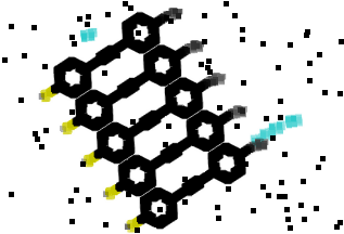 CCCc1ccc(C#Cc2ccc([S])cc2)cc1.CCCc1ccc(C#Cc2ccc([S])cc2)cc1.CCCc1ccc(C#Cc2ccc([S])cc2)cc1.CCCc1ccc(C#Cc2ccc([S])cc2)cc1.CCCc1ccc(C#Cc2ccc([S])cc2)cc1.F.F.F.F.F